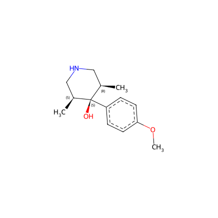 COc1ccc([C@@]2(O)[C@H](C)CNC[C@@H]2C)cc1